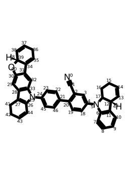 N#Cc1cc(N2c3c#cccc3[C@H]3C=CCCC32)ccc1-c1ccc(-n2c3c(c4cc5c(cc42)C2=CCC=C[C@H]2O5)CCC=C3)cc1